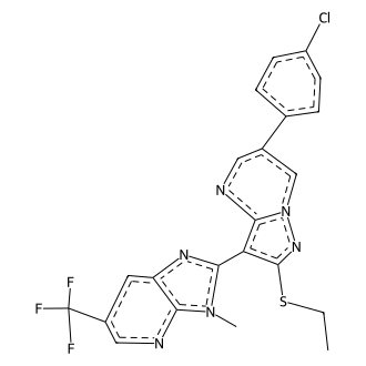 CCSc1nn2cc(-c3ccc(Cl)cc3)cnc2c1-c1nc2cc(C(F)(F)F)cnc2n1C